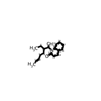 C/C=C/CCC(CC)C(C)n1c(=O)ccc2ccccc21